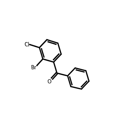 O=C(c1ccccc1)c1cccc(Cl)c1Br